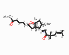 COC(=O)CCCC[C@H]1C[C@@H]2[C@@H](/C=C/C(=O)C(C)(C)CC=C(C)C)[C@H](OC(C)=O)C[C@@H]2O1